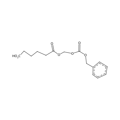 O=C(O)CCCCC(=O)OCOC(=O)OCc1ccccc1